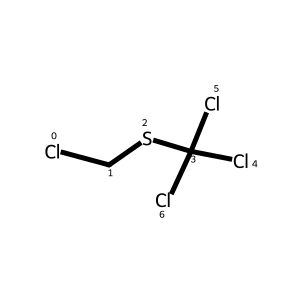 ClCSC(Cl)(Cl)Cl